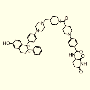 O=C1CCC(NC(=O)c2ccc(N3CCC(C(=O)N4CCC(CN5CCN(c6ccc([C@@H]7c8ccc(O)cc8CC[C@@H]7c7ccccc7)cc6)CC5)CC4)CC3)cc2)C(=O)N1